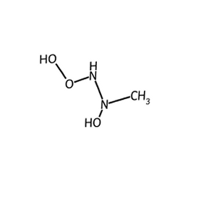 CN(O)NOO